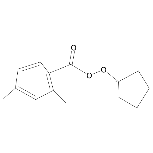 Cc1ccc(C(=O)OO[C]2CCCC2)c(C)c1